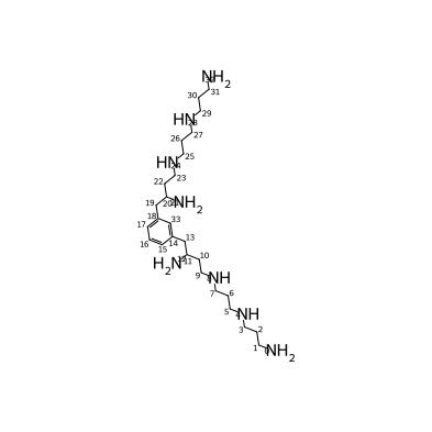 NCCCNCCCNCCC(N)Cc1cccc(CC(N)CCNCCCNCCCN)c1